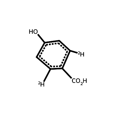 [2H]c1cc(O)cc([2H])c1C(=O)O